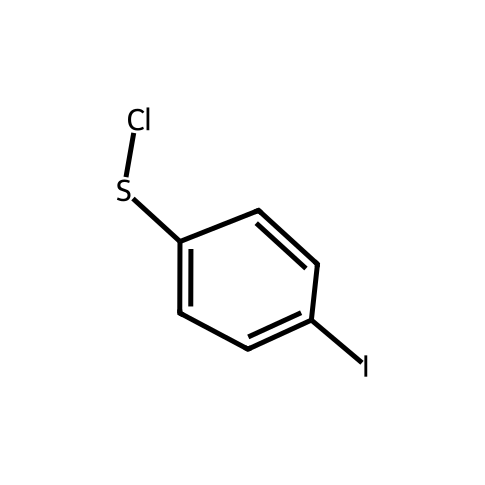 ClSc1ccc(I)cc1